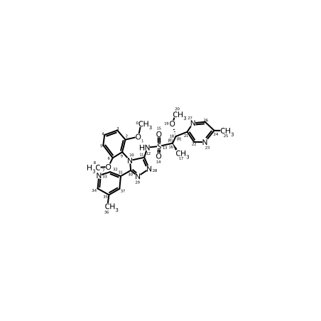 COc1cccc(OC)c1-n1c(NS(=O)(=O)[C@H](C)[C@H](OC)c2cnc(C)cn2)nnc1-c1cncc(C)c1